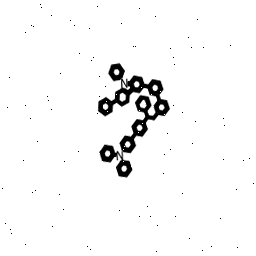 C1=CCC(C(Cc2cccc(-c3cccc(-c4ccc5c(c4)c4c(n5-c5ccccc5)C=C(c5ccccc5)CC4)c3)c2)c2ccc(-c3ccc(N(c4ccccc4)c4ccccc4)cc3)cc2)C=C1